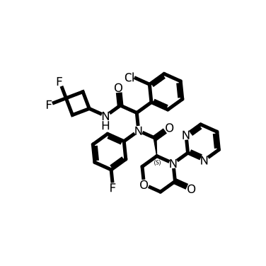 O=C(NC1CC(F)(F)C1)C(c1ccccc1Cl)N(C(=O)[C@@H]1COCC(=O)N1c1ncccn1)c1cccc(F)c1